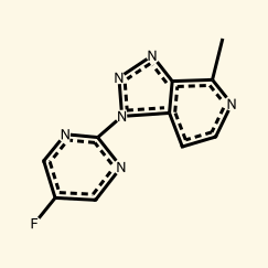 Cc1nccc2c1nnn2-c1ncc(F)cn1